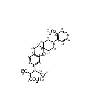 C[C@H](C(=O)O)C(c1ccc2c(c1)OC1(CC2)CCN(c2ccncc2C(F)(F)F)CC1)C1CC1